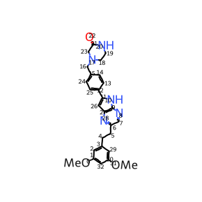 COc1cc(CCc2cnc3[nH]c(-c4ccc(CN5CCNC(=O)C5)cc4)cc3n2)cc(OC)c1